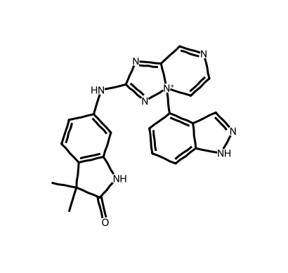 CC1(C)C(=O)Nc2cc(NC3=N[N+]4(c5cccc6[nH]ncc56)C=CN=CC4=N3)ccc21